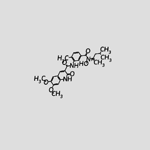 COc1cc2cc(C(=O)Nc3cc(C(=O)N(O)[C@H](C)CC(C)C)ccc3C)c(=O)[nH]c2cc1OC